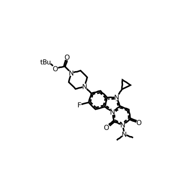 CN(C)n1c(=O)cc2n(C3CC3)c3cc(N4CCN(C(=O)OC(C)(C)C)CC4)c(F)cc3n2c1=O